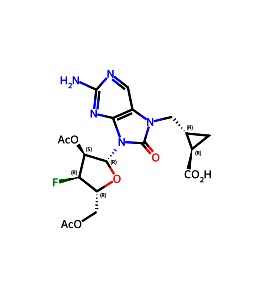 CC(=O)OC[C@H]1O[C@@H](n2c(=O)n(C[C@@H]3C[C@H]3C(=O)O)c3cnc(N)nc32)[C@H](OC(C)=O)[C@@H]1F